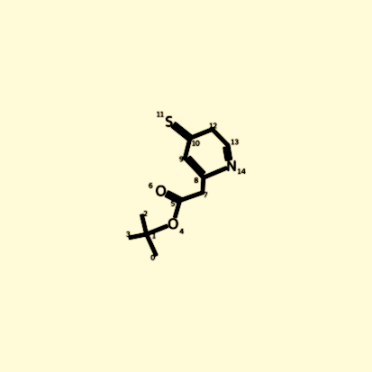 CC(C)(C)OC(=O)CC1=CC(=S)CC=N1